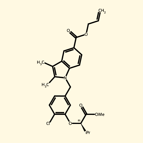 C=CCOC(=O)c1ccc2c(c1)c(C)c(C)n2Cc1ccc(Cl)c(O[C@@H](C(=O)OC)C(C)C)c1